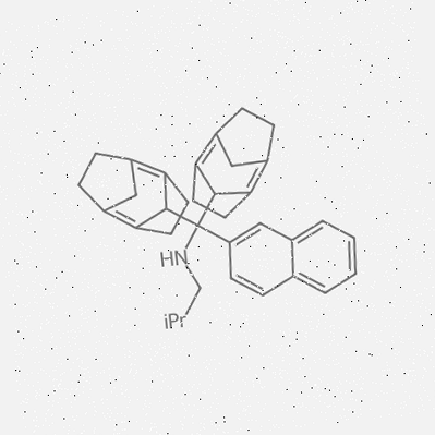 CC(C)CNC(c1ccc2ccccc2c1)(C1C2=C3CCC(=C1CC2)C3)C1C2=C3CCC(=C1CC2)C3